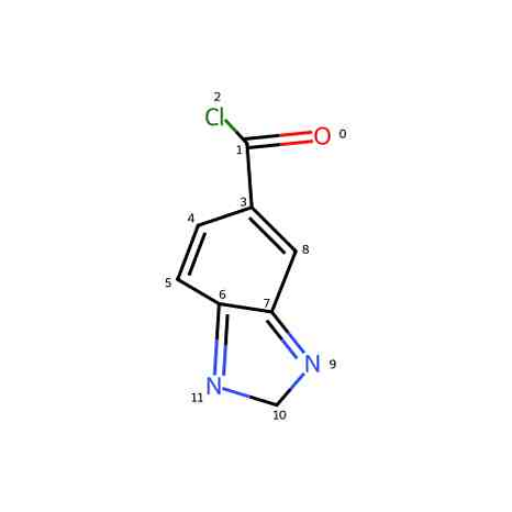 O=C(Cl)c1ccc2c(c1)=NCN=2